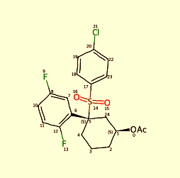 CC(=O)O[C@H]1CCC[C@](c2cc(F)ccc2F)(S(=O)(=O)c2ccc(Cl)cc2)C1